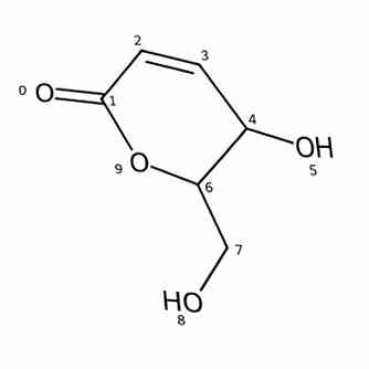 O=C1C=CC(O)C(CO)O1